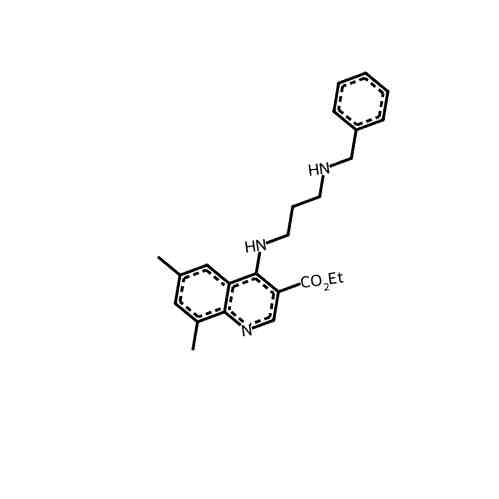 CCOC(=O)c1cnc2c(C)cc(C)cc2c1NCCCNCc1ccccc1